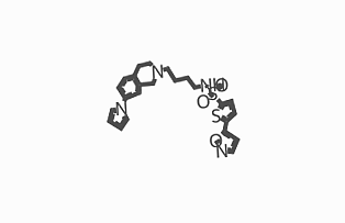 O=S(=O)(NCCCCN1CCc2ccc(-n3cccc3)cc2C1)c1ccc(-c2ccno2)s1